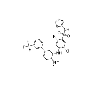 CN(C)[C@H]1CC=C(c2cccc(C(F)(F)F)c2)C[C@@H]1Nc1cc(F)c(S(=O)(=O)Nc2nccs2)cc1Cl